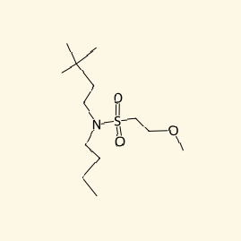 CCCCN(CCC(C)(C)C)S(=O)(=O)CCOC